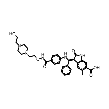 Cc1cc2c(cc1C(=O)O)NC(=O)/C2=C(\Nc1ccc(C(=O)NOCCN2CCN(CCO)CC2)cc1)c1ccccc1